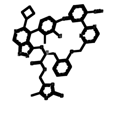 COc1ccccc1-c1nccc(COc2ccccc2C[C@@H](Oc2nsc3cnc(C4CCC4)c(-c4ccc(OC)c(Cl)c4C)c23)C(=O)OCc2oc(=O)oc2C)n1